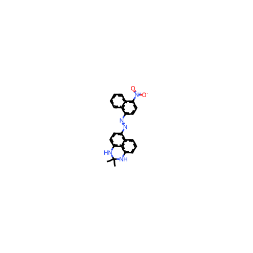 CC1(C)Nc2cccc3c(N=Nc4ccc([N+](=O)[O-])c5ccccc45)ccc(c23)N1